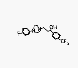 OC(CCN1CCN(c2ccc(F)cc2)CC1)c1ccc(C(F)(F)F)cc1